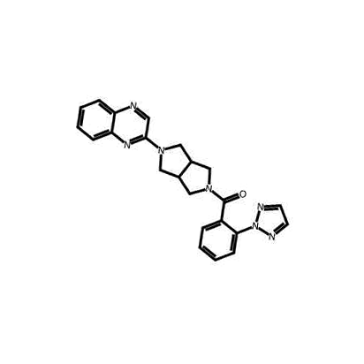 O=C(c1ccccc1-n1nccn1)N1CC2CN(c3cnc4ccccc4n3)CC2C1